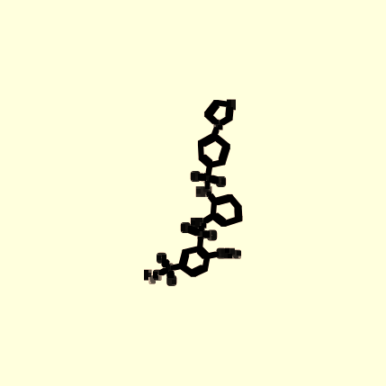 COc1ccc(S(=O)(=O)C(F)(F)F)cc1S(=O)(=O)Nc1ccccc1NS(=O)(=O)c1ccc(-n2ccnc2)cc1